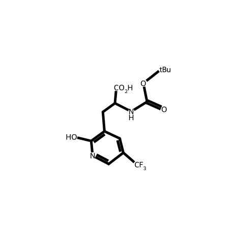 CC(C)(C)OC(=O)NC(Cc1cc(C(F)(F)F)cnc1O)C(=O)O